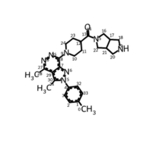 Cc1ccc(-n2nc3c(N4CCC(C(=O)N5CC6CNCC6C5)CC4)nnc(C)c3c2C)cc1